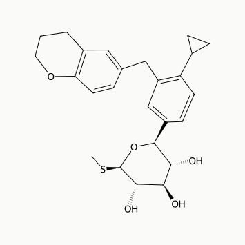 CS[C@H]1O[C@@H](c2ccc(C3CC3)c(Cc3ccc4c(c3)CCCO4)c2)[C@H](O)[C@@H](O)[C@@H]1O